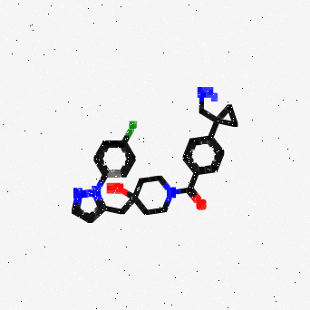 NCC1(c2ccc(C(=O)N3CCC(O)(Cc4ccnn4-c4ccc(F)cc4)CC3)cc2)CC1